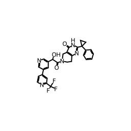 O=C(C(O)c1cncc(-c2ccnc(C(F)(F)F)c2)c1)N1CCc2nc(C3(c4ccccc4)CC3)[nH]c(=O)c2C1